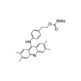 CNC(=O)OCCc1ccc(Nc2c3cc(C)c(C)cc3nc3cc(C)c(C)cc23)cc1